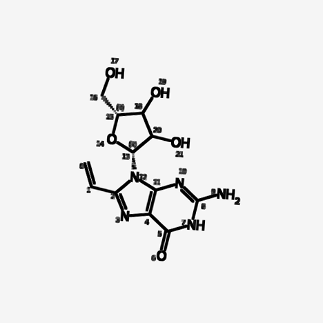 C=Cc1nc2c(=O)[nH]c(N)nc2n1[C@@H]1O[C@H](CO)C(O)C1O